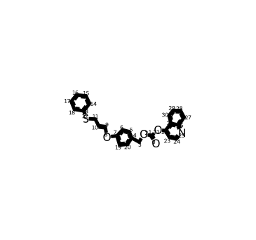 O=C(OCc1ccc(OC=CCSc2ccccc2)cc1)Oc1ccnc2ccccc12